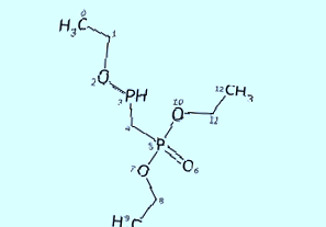 CCOPCP(=O)(OCC)OCC